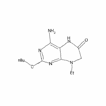 CCCCOc1nc(N)c2c(n1)N(CC)CC(=O)N2